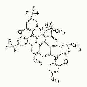 Cc1ccc2c(c1)Oc1cc(C)cc3c1B2c1cc2c(C)cc4c5c(cc6c([Si](C)(C)C)cc-3c1c6c25)B1c2ccc(C(F)(F)F)cc2Oc2cc(C(F)(F)F)cc-4c21